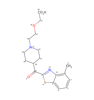 Cc1cccc2sc(C(=O)C3CCN(CCOCC(=O)O)CC3)nc12